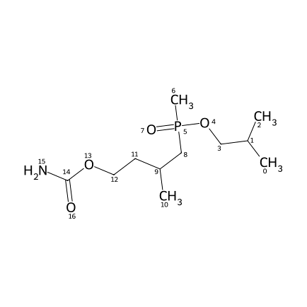 CC(C)COP(C)(=O)CC(C)CCOC(N)=O